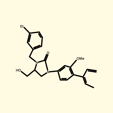 C=C/C(=C\C)c1ccc(N2CC(CO)N(Cc3cccc(CC)c3)C2=O)cc1OC